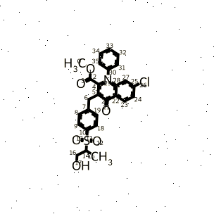 COC(=O)c1c(Cc2ccc(S(=O)(=O)C(C)CO)cc2)c(=O)c2ccc(Cl)cc2n1-c1ccccc1